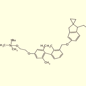 Cc1cc(OCCO[Si](C)(C)C(C)(C)C)cc(C)c1-c1cccc(COc2ccc3c(c2)CC2(CC2)C3CC#N)c1C